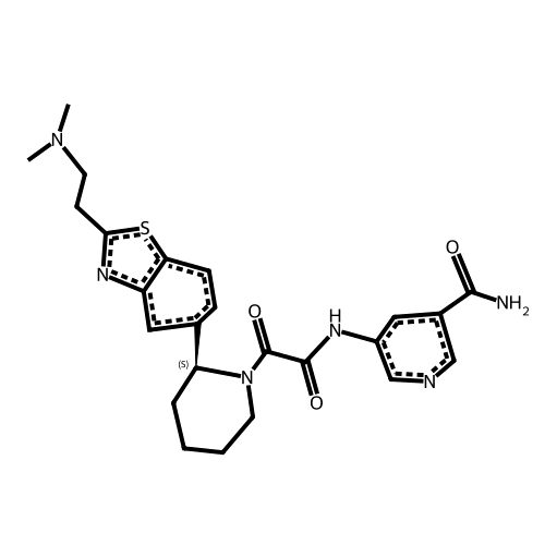 CN(C)CCc1nc2cc([C@@H]3CCCCN3C(=O)C(=O)Nc3cncc(C(N)=O)c3)ccc2s1